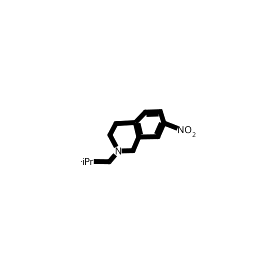 C[C](C)CN1CCc2ccc([N+](=O)[O-])cc2C1